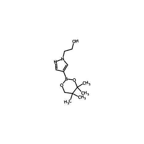 CC1(C)COB(c2cnn(CCO)c2)OC1(C)C